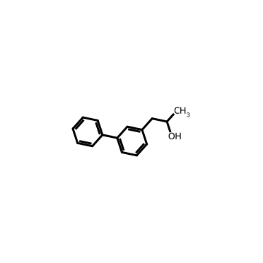 CC(O)Cc1cccc(-c2ccccc2)c1